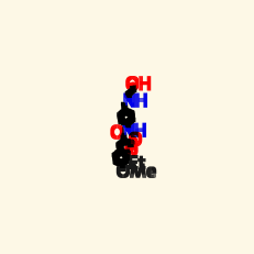 CCc1c(OC)ccc2cc(C(=O)Nc3ccc(CNCCO)cc3)c(=O)oc12